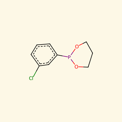 Clc1cccc(P2OCCCO2)c1